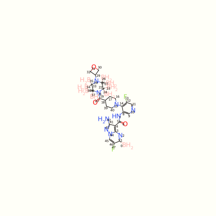 Bc1nc2c(C(=O)Nc3cncc(F)c3N3CCC(C(=O)N4C(B)(B)C(B)(B)N(C5COC5)C(B)(B)C4(B)B)CC3)c(N)nn2cc1F